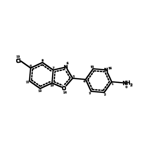 Nc1ccc(-c2nc3cc(Cl)ccc3o2)cn1